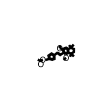 COc1cc2c(c(OC)c1/C=C/c1ccc(COC(C)=O)cc1)C(C)(C)CCC2(C)C